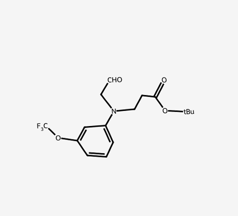 CC(C)(C)OC(=O)CCN(CC=O)c1cccc(OC(F)(F)F)c1